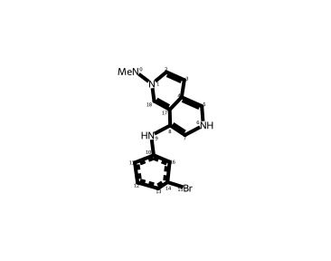 CNN1C=CC2=CNC=C(Nc3cccc(Br)c3)C2=C1